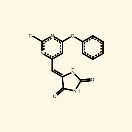 O=C1NC(=O)/C(=C/c2cc(Oc3ccccc3)nc(Cl)n2)N1